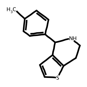 Cc1ccc(C2NCCc3sccc32)cc1